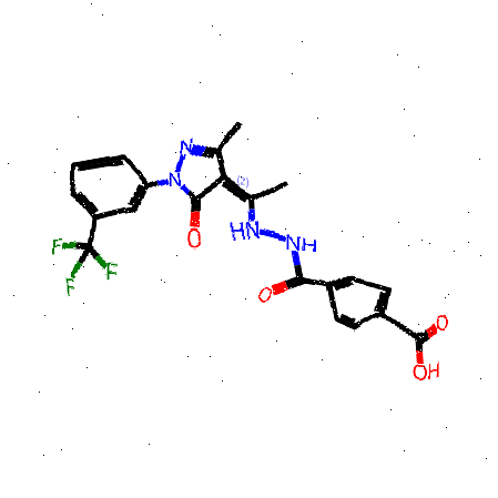 CC1=NN(c2cccc(C(F)(F)F)c2)C(=O)/C1=C(/C)NNC(=O)c1ccc(C(=O)O)cc1